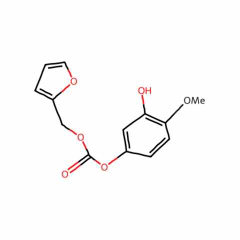 COc1ccc(OC(=O)OCc2ccco2)cc1O